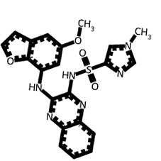 COc1cc(Nc2nc3ccccc3nc2NS(=O)(=O)c2cn(C)cn2)c2occc2c1